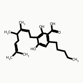 CCCCCc1cc(O)c(CC=C(C)C(C)CC=C(C)C)c(O)c1C(=O)O